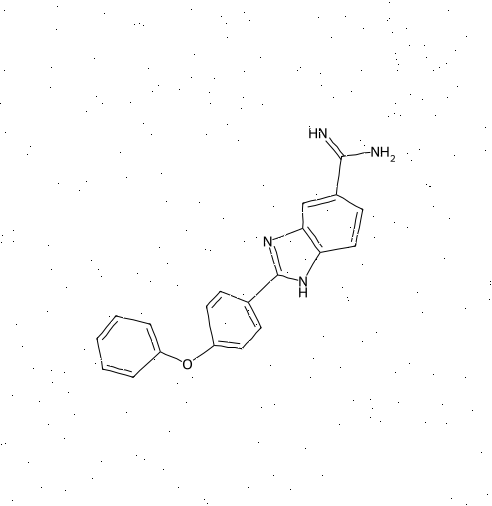 N=C(N)c1ccc2[nH]c(-c3ccc(Oc4ccccc4)cc3)nc2c1